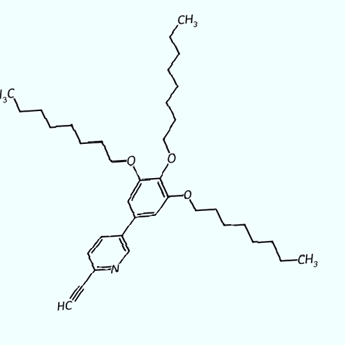 C#Cc1ccc(-c2cc(OCCCCCCCC)c(OCCCCCCCC)c(OCCCCCCCC)c2)cn1